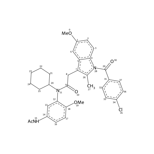 COc1ccc2c(c1)c(CC(=O)N(c1cc(NC(C)=O)ccc1OC)C1CCCCC1)c(C)n2C(=O)c1ccc(Cl)cc1